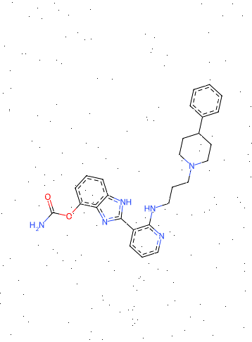 NC(=O)Oc1cccc2[nH]c(-c3cccnc3NCCCN3CCC(c4ccccc4)CC3)nc12